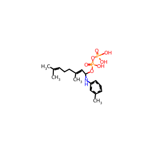 CC(C)=CCC/C(C)=C/C(Nc1cccc(C)c1)OP(=O)(O)OP(=O)(O)O